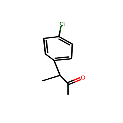 CC(=O)C(C)c1ccc(Cl)cc1